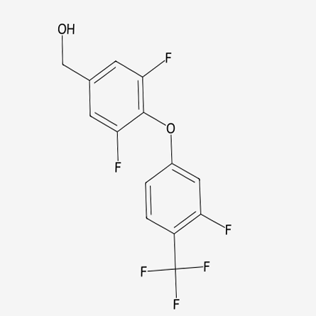 OCc1cc(F)c(Oc2ccc(C(F)(F)F)c(F)c2)c(F)c1